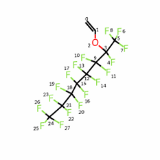 C=COC(F)(C(F)(F)F)C(F)(F)C(F)(F)C(F)(F)C(F)(F)C(F)(F)C(F)(F)F